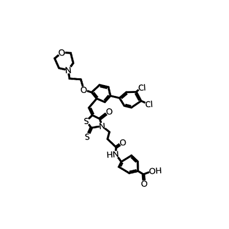 O=C(CCN1C(=O)C(=Cc2cc(-c3ccc(Cl)c(Cl)c3)ccc2OCCN2CCOCC2)SC1=S)Nc1ccc(C(=O)O)cc1